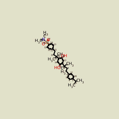 CC(C)c1ccc(CCC(C)(C)c2cc(O)c(C(C)(C)CCc3ccc(S(=O)(=O)N(C)C)cc3)cc2O)cc1